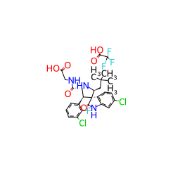 CC(C)(C)C[C@@H]1N[C@@H](C(=O)NCC(=O)O)[C@H](c2cccc(Cl)c2F)[C@]12C(=O)Nc1cc(Cl)ccc12.O=C(O)C(F)(F)F